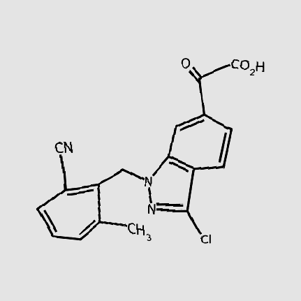 Cc1cccc(C#N)c1Cn1nc(Cl)c2ccc(C(=O)C(=O)O)cc21